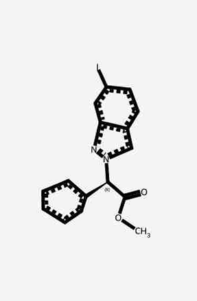 COC(=O)[C@@H](c1ccccc1)n1cc2ccc(I)cc2n1